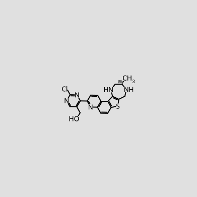 C[C@@H]1CNc2c(sc3ccc4nc(-c5nc(Cl)ncc5CO)ccc4c23)CN1